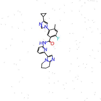 Cc1cc(F)c(C(=O)Nc2cccc(-c3cnc4n3CCCC4)n2)cc1-n1cnc(C2CC2)c1